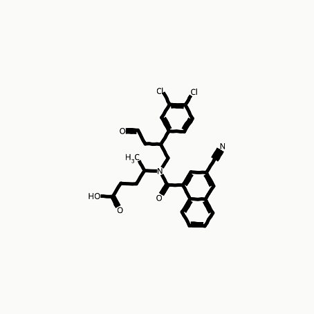 CC(CCC(=O)O)N(CC(CC=O)c1ccc(Cl)c(Cl)c1)C(=O)c1cc(C#N)cc2ccccc12